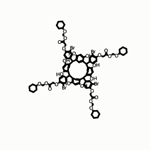 O=C(COc1ccc(C2c3cc(c(O)cc3O)C(c3ccc(OCC(=O)OCOC4CCCCC4)c(Br)c3)c3cc(c(O)cc3O)C(c3ccc(OCC(=O)OCOC4CCCCC4)c(Br)c3)c3cc(c(O)cc3O)C(c3ccc(OCC(=O)OCOC4CCCCC4)c(Br)c3)c3cc2c(O)cc3O)cc1Br)OCOC1CCCCC1